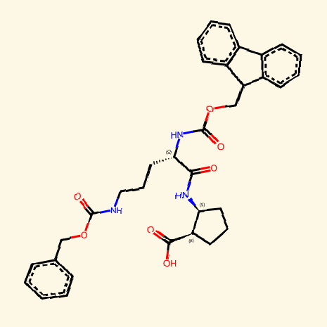 O=C(NCCC[C@H](NC(=O)OCC1c2ccccc2-c2ccccc21)C(=O)N[C@H]1CCC[C@H]1C(=O)O)OCc1ccccc1